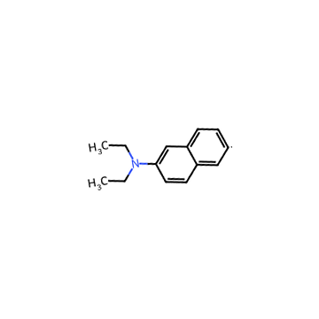 CCN(CC)c1ccc2c[c]ccc2c1